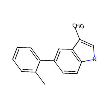 Cc1ccccc1-c1ccc2[nH]cc(C=O)c2c1